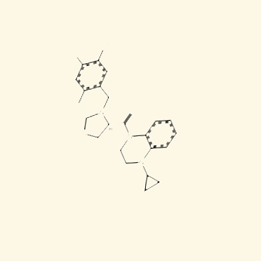 O=C([C@@H]1CSCN1Cc1cc(Cl)c(O)cc1Cl)N1CCN(C2CC2)c2ccccc21